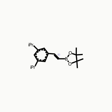 CC(C)c1cc(/C=C/B2OC(C)(C)C(C)(C)O2)cc(C(C)C)c1